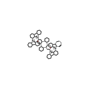 C1#Cc2c(c3ccccc3n2-c2cccc3c4ccccc4n(C4=CC5=C(CC4)c4ccccc4-c4cc(-n6c7ccccc7c7cccc(-n8c9ccccc9c9ccccc98)c76)ccc4-c4ccccc45)c23)C=CC1